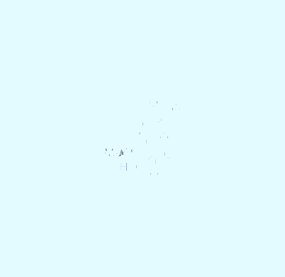 [Al+3].[Mo+4].[O-][Si]([O-])([O-])O.[O-][Si]([O-])([O-])[O-]